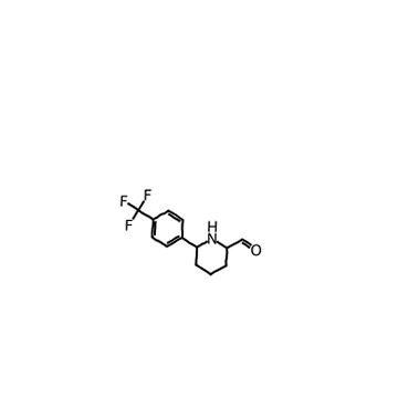 O=CC1CCCC(c2ccc(C(F)(F)F)cc2)N1